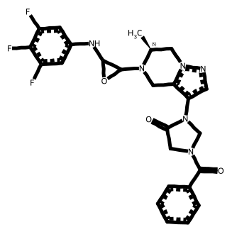 C[C@H]1Cn2ncc(N3CN(C(=O)c4ccccc4)CC3=O)c2CN1C1OC1Nc1cc(F)c(F)c(F)c1